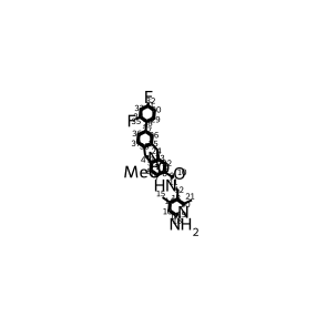 COC(=O)N1C2c3ccc(C(=O)NCc4c(C)cc(N)nc4C)cc3C1c1cc(-c3ccc(F)cc3F)ccc12